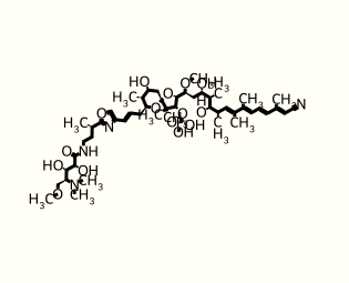 COC[C@@H]([C@H](O)[C@H](O)C(=O)NCC[C@H](C)c1nc(/C=C/C[C@@H]2O[C@]3(C[C@H](O)[C@H]2C)O[C@H]([C@H](C[C@H](O)[C@@H](C)[C@H](O)[C@H](C)/C=C(C)/C(C)=C/C=C/C(C)=C/C#N)OC)[C@@H](OP(=O)(O)O)C3(C)C)co1)N(C)C